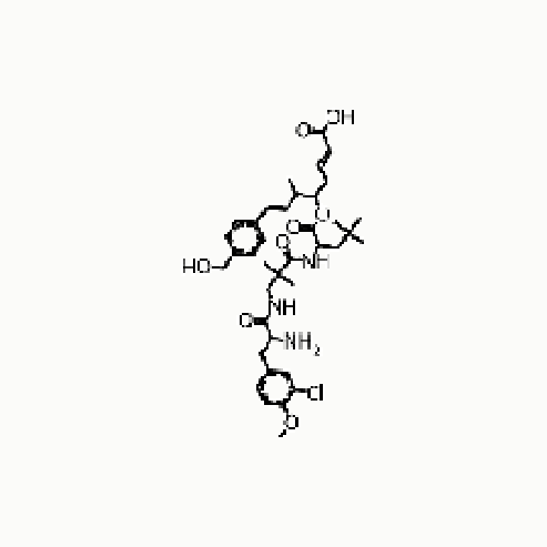 COc1ccc(CC(N)C(=O)NCC(C)(C)C(=O)NC(CC(C)(C)C)C(=O)OC(C/C=C/C(=O)O)C(C)/C=C/c2ccc(CO)cc2)cc1Cl